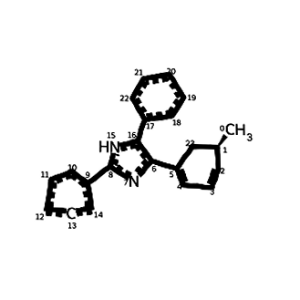 C[C@H]1C=CC=C(c2nc(-c3ccccc3)[nH]c2-c2ccccc2)C1